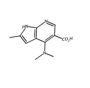 Cc1cc2c(N(C)C)c(C(=O)O)cnc2[nH]1